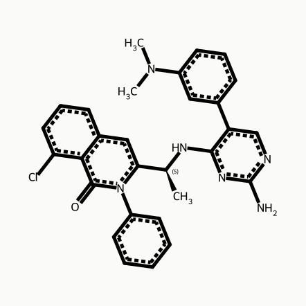 C[C@H](Nc1nc(N)ncc1-c1cccc(N(C)C)c1)c1cc2cccc(Cl)c2c(=O)n1-c1ccccc1